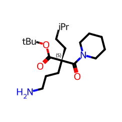 CC(C)CC[C@@](CCCN)(C(=O)OC(C)(C)C)C(=O)N1CCCCC1